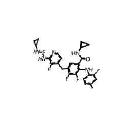 Cc1ccc(Nc2c(C(=O)NC3CC3)cc(Cc3ccnc(NSNC4CC4)c3F)c(F)c2F)c(F)c1